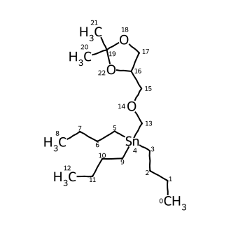 CCC[CH2][Sn]([CH2]CCC)([CH2]CCC)[CH2]OCC1COC(C)(C)O1